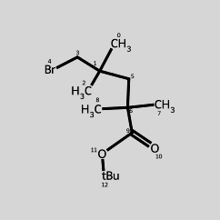 CC(C)(CBr)CC(C)(C)C(=O)OC(C)(C)C